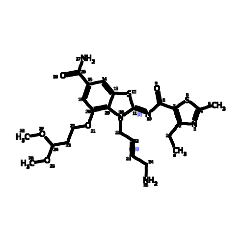 CCc1nc(C)sc1C(=O)/N=c1\sc2cc(C(N)=O)cc(OCCC(OC)OC)c2n1C/C=C/CN